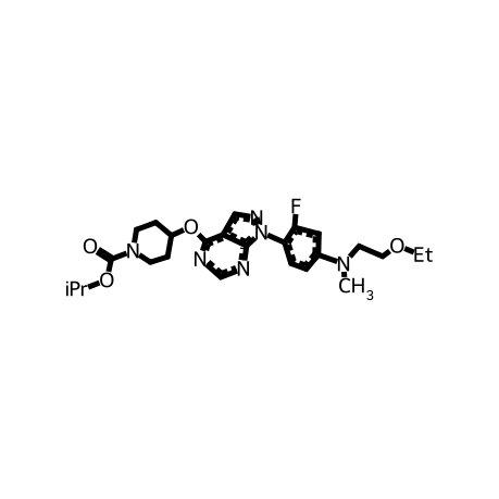 CCOCCN(C)c1ccc(-n2ncc3c(OC4CCN(C(=O)OC(C)C)CC4)ncnc32)c(F)c1